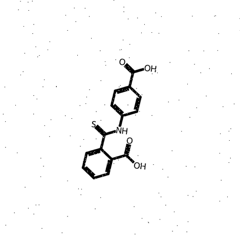 O=C(O)c1ccc(NC(=S)c2ccccc2C(=O)O)cc1